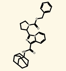 O=C(NC12CC3CC(CC(C3)C1)C2)c1nc(C2CCCN2C(=O)OCc2ccccc2)n2ccccc12